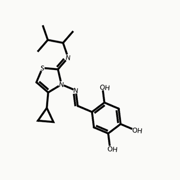 CC(C)C(C)/N=c1\scc(C2CC2)n1/N=C/c1cc(O)c(O)cc1O